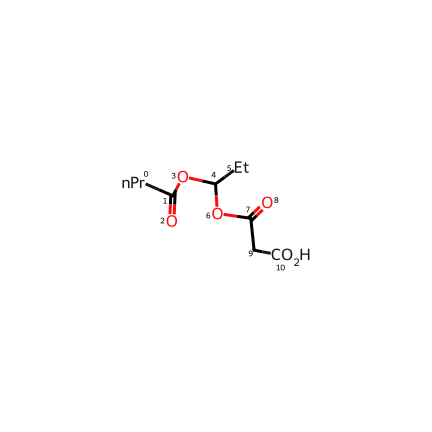 CCCC(=O)OC(CC)OC(=O)CC(=O)O